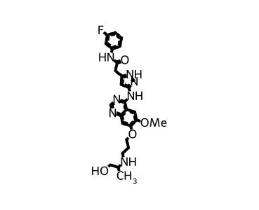 COc1cc2c(Nc3cc(CC(=O)Nc4cccc(F)c4)[nH]n3)ncnc2cc1OCCCNC(C)CO